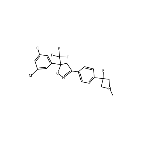 CN1CC(F)(c2ccc(C3=NOC(c4cc(Cl)cc(Cl)c4)(C(F)(F)F)C3)cc2)C1